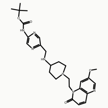 COc1cnc2ccc(=O)n(CCN3CCC(NCc4cnc(NC(=O)OC(C)(C)C)cn4)CC3)c2c1